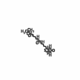 CC(C)(C)OC(=O)CCCCNC(=O)NCCCCC1SC[C@@H]2NC(=O)N[C@H]12